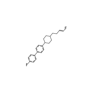 FC=CCCC1CCC(c2ccc(-c3ccc(F)cc3)cc2)CC1